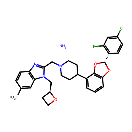 N.O=C(O)c1ccc2nc(CN3CCC(c4cccc5c4O[C@H](c4ccc(Cl)cc4F)O5)CC3)n(C[C@@H]3CCO3)c2c1